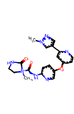 Cn1cc(-c2cc(Oc3ccc(NC(=O)[N+]4(C)CCNC4=O)nc3)ccn2)cn1